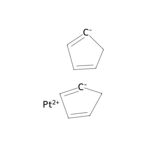 [C-]1=CC=CC1.[C-]1=CC=CC1.[Pt+2]